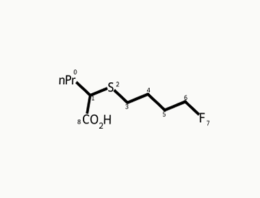 CCCC(SCCCCF)C(=O)O